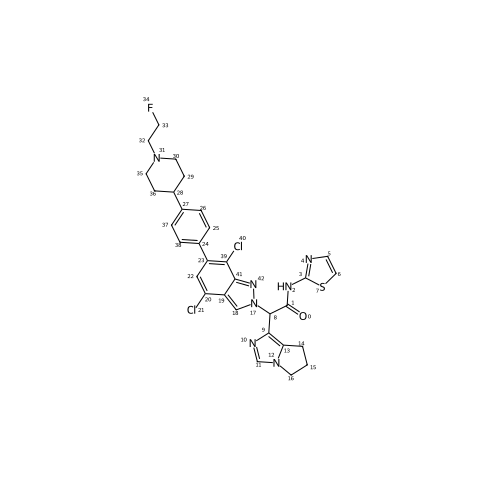 O=C(Nc1nccs1)C(c1ncn2c1CCC2)n1cc2c(Cl)cc(-c3ccc(C4CCN(CCF)CC4)cc3)c(Cl)c2n1